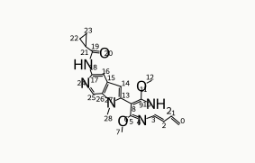 C=C/C=C/N=C(OC)\C(=C(/N)OC)c1cc2cc(NC(=O)C3CC3)ncc2n1C